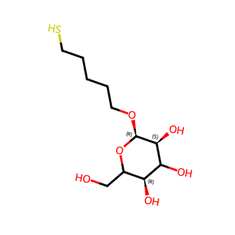 OCC1O[C@@H](OCCCCCS)[C@@H](O)C(O)[C@H]1O